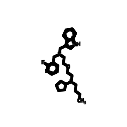 CCCCN(CCOCCN(Cc1cccnc1F)Cc1c[nH]c2ccccc12)C1CCCC1